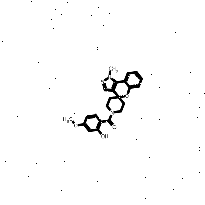 COc1ccc(C(=O)N2CCC3(CC2)Oc2ccccc2-c2c3cnn2C)c(O)c1